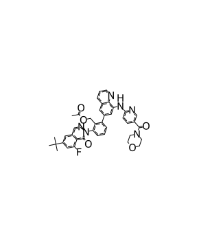 CC(=O)OCc1c(-c2cc(Nc3ccc(C(=O)N4CCOCC4)cn3)c3ncccc3c2)cccc1-n1ncc2cc(C(C)(C)C)cc(F)c2c1=O